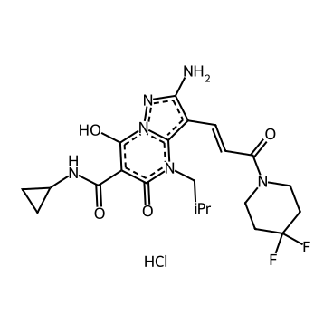 CC(C)Cn1c(=O)c(C(=O)NC2CC2)c(O)n2nc(N)c(C=CC(=O)N3CCC(F)(F)CC3)c12.Cl